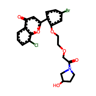 O=C(COCCOc1cc(Br)ccc1-c1cc(=O)c2cccc(Cl)c2o1)N1CCC(O)C1